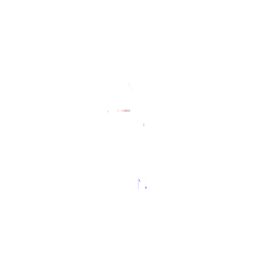 C=CC(=O)OCCC[N+](C)(CC)CC